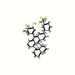 Fc1cc(-c2c3ccccc3c(-c3cccc4ccccc34)c3ccc(-c4cccc(C(F)(F)F)c4)cc23)cc(F)c1F